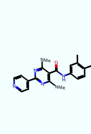 CNc1nc(-c2ccncc2)nc(NC)c1C(=O)Nc1ccc(C)c(C)c1